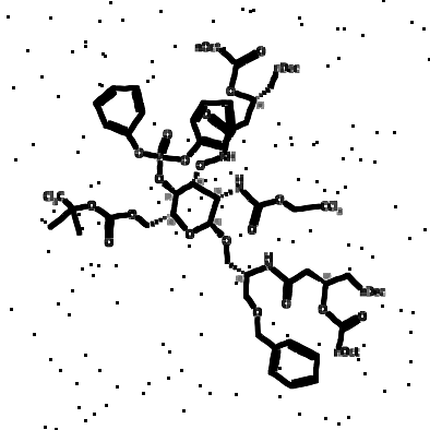 CCCCCCCCCCC[C@H](CC(=O)NO[C@@H]1[C@H](NC(=O)OCC(Cl)(Cl)Cl)[C@@H](OC[C@@H](COCc2ccccc2)NC(=O)C[C@@H](CCCCCCCCCCC)OC(=O)CCCCCCCC)O[C@H](COC(=O)OC(C)(C)C(Cl)(Cl)Cl)[C@H]1OP(=O)(Oc1ccccc1)Oc1ccccc1)OC(=O)CCCCCCCC